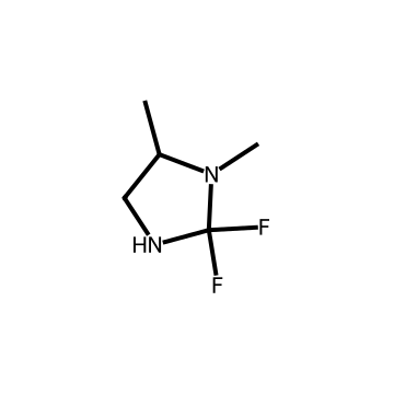 CC1CNC(F)(F)N1C